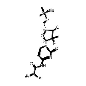 CCCC(CCC)C(=O)Nc1ccn([C@@H]2O[C@H](CO[Si](C)(C)C(C)(C)C)C(O)C2(F)F)c(=O)n1